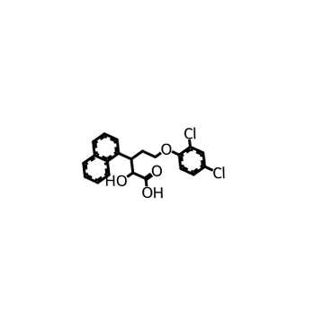 O=C(O)C(O)C(CCOc1ccc(Cl)cc1Cl)c1cccc2ccccc12